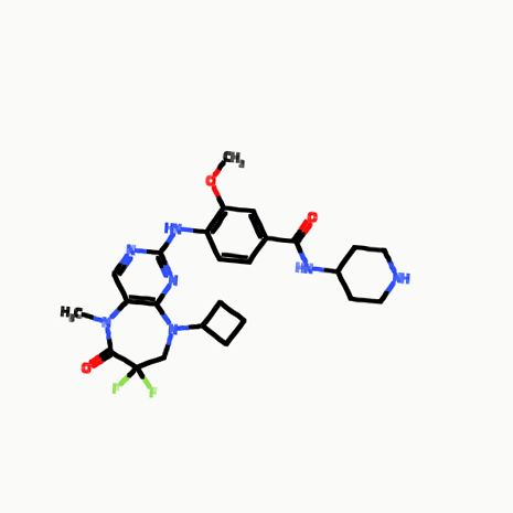 COc1cc(C(=O)NC2CCNCC2)ccc1Nc1ncc2c(n1)N(C1CCC1)CC(F)(F)C(=O)N2C